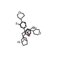 CC(C)(C)c1ccc(CN2C3CC[C@H]2CC(CN(C(=O)NC2CCOCC2)c2ccc(N4CCOCC4)c(F)c2)C3)cc1